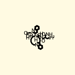 CC(C)CC(C(N)=O)C(=O)N[C@H]1Cc2cn(c3ccccc23)CCCCCCNC1=O.O=[PH](O)CSc1ccc2ccccc2n1